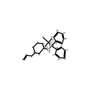 C=CCC1CCCC(O[Si](c2ccccc2)(c2ccccc2)C(C)(C)C)C1